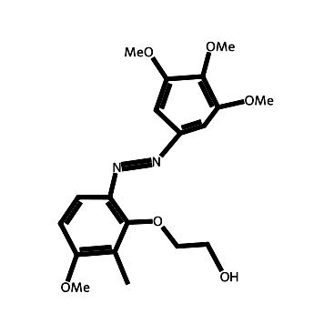 COc1ccc(N=Nc2cc(OC)c(OC)c(OC)c2)c(OCCO)c1C